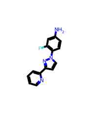 Nc1ccc(-n2ccc(-c3ccccn3)n2)c(F)c1